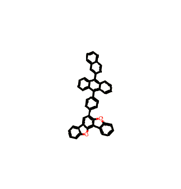 c1ccc2cc(-c3c4ccccc4c(-c4ccc(-c5cc6c7ccccc7oc6c6c5oc5ccccc56)cc4)c4ccccc34)ccc2c1